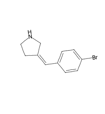 Brc1ccc(C=C2CCNC2)cc1